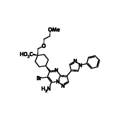 COCCOC[C@]1(C(=O)O)CC[C@@H](c2nc3c(-c4cnn(-c5ccccc5)c4)cnn3c(N)c2Br)CC1